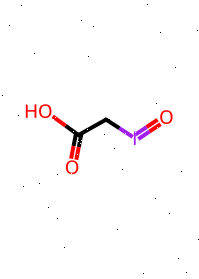 O=ICC(=O)O